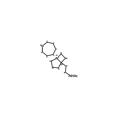 C1CCC[N]CC1.CC(=O)NCCC12CCC[N+]1CC2